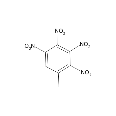 Cc1cc([N+](=O)[O-])c([N+](=O)[O-])c([N+](=O)[O-])c1[N+](=O)[O-]